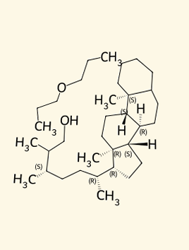 CC(CO)[C@@H](C)CC[C@@H](C)[C@H]1CC[C@H]2[C@@H]3CCC4CCCC[C@]4(C)[C@H]3CC[C@]12C.CCCOCCC